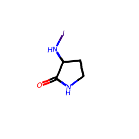 O=C1NCCC1NI